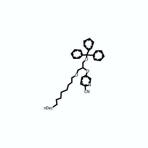 CCCCCCCCCCCCCCCCCCOCC(COC(c1ccccc1)(c1ccccc1)c1ccccc1)Oc1ccc(C#N)nc1